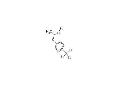 CCOC(C)Oc1ccc(S(CC)(CC)CC)cc1